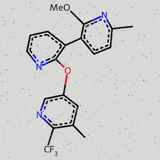 COc1nc(C)ccc1-c1cccnc1Oc1cnc(C(F)(F)F)c(C)c1